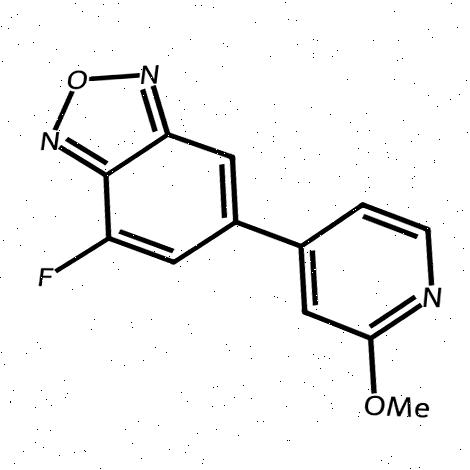 COc1cc(-c2cc(F)c3nonc3c2)ccn1